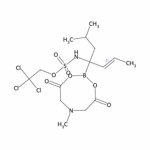 C/C=C/C(CC(C)C)(NS(=O)(=O)OCC(Cl)(Cl)Cl)B1OC(=O)CN(C)CC(=O)O1